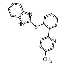 Cc1ccc(-c2ccccc2Sc2nc3ccccc3[nH]2)nc1